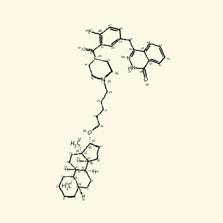 C[C@@]12CCCC[C@H]1CC[C@H]1[C@H]2CC[C@]2(C)[C@@H]1CC[C@H]2OCCCCCN1CCN(C(=O)c2cc(Cc3n[nH]c(=O)c4ccccc34)ccc2F)CC1